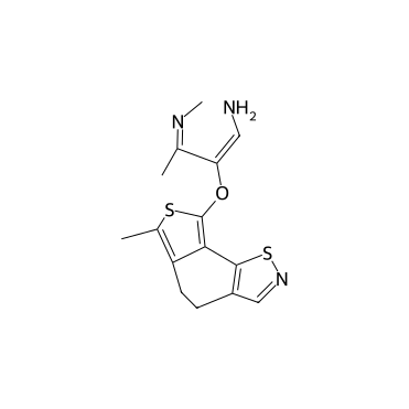 C/N=C(C)\C(=C/N)Oc1sc(C)c2c1-c1sncc1CC2